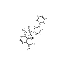 O=C(O)c1cccc(N(Cl)S(=O)(=O)c2cccc(-c3ccccc3)c2)c1O